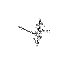 C#CC#CC#CC#CC#COc1cc(-c2ccc(-c3sc(C)cc3C)s2)c(OCCCCCCCCCC)cc1-c1ccc(-c2sc(C)cc2C)s1